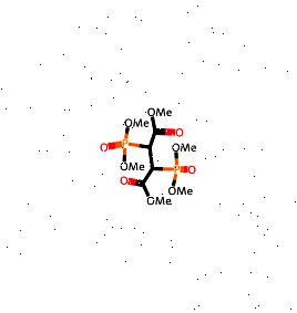 COC(=O)C(C(C(=O)OC)P(=O)(OC)OC)P(=O)(OC)OC